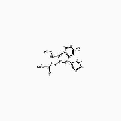 COC(=O)CC[C@@H]1N=C(c2ccccn2)c2cc(Br)ccc2N=C1NCC(C)C